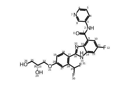 O=C(Nc1cccnc1)c1cc(F)cc2[nH]c(-c3ccc(OC[C@H](O)CO)cc3C(F)F)nc12